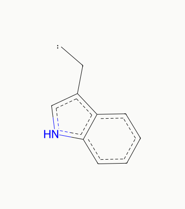 [CH]Cc1c[nH]c2ccccc12